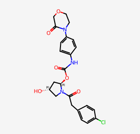 O=C(Nc1ccc(N2CCOCC2=O)cc1)O[C@@H]1C[C@@H](O)CN1C(=O)Cc1ccc(Cl)cc1